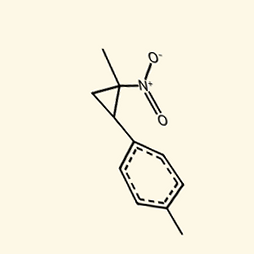 Cc1ccc(C2CC2(C)[N+](=O)[O-])cc1